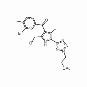 CC(=O)OCCn1nnc(-c2[nH]c(CCl)c(C(=O)c3ccc(C)c(Br)c3)c2C)n1